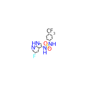 O=S(=O)(Nc1ccc(C(F)(F)F)cc1)Nc1c[nH]c2ncc(F)cc12